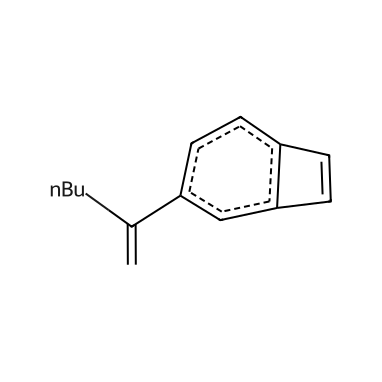 C=C(CCCC)c1ccc2c(c1)C=C2